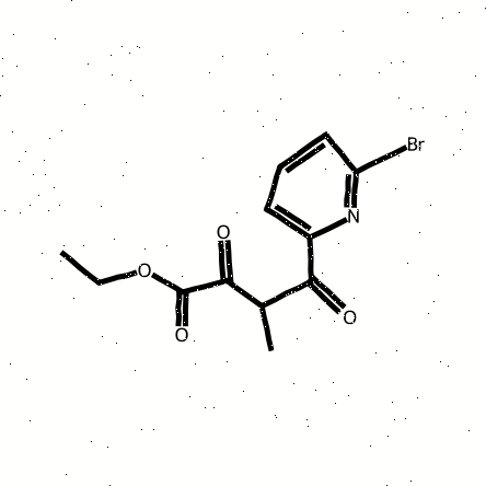 CCOC(=O)C(=O)C(C)C(=O)c1cccc(Br)n1